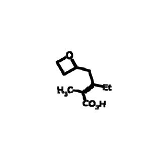 CCC(CC1CCO1)=C(C)C(=O)O